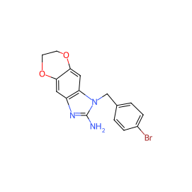 Nc1nc2cc3c(cc2n1Cc1ccc(Br)cc1)OCCO3